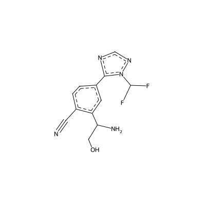 N#Cc1ccc(-c2ncnn2C(F)F)cc1C(N)CO